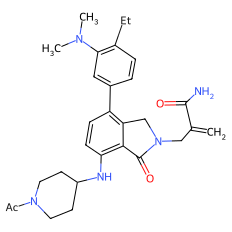 C=C(CN1Cc2c(-c3ccc(CC)c(N(C)C)c3)ccc(NC3CCN(C(C)=O)CC3)c2C1=O)C(N)=O